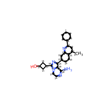 Cc1cc(-c2ccccc2)nc2cc(-c3nc(C4CC(O)C4)n4ccnc(N)c34)ccc12